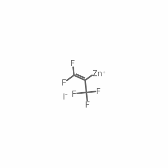 FC(F)=[C]([Zn+])C(F)(F)F.[I-]